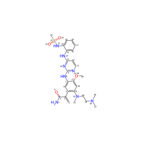 C=C(C(N)=O)c1cc(Nc2nccc(Nc3ccccc3NS(C)(=O)=O)n2)c(OC)cc1N(C)CCN(C)C